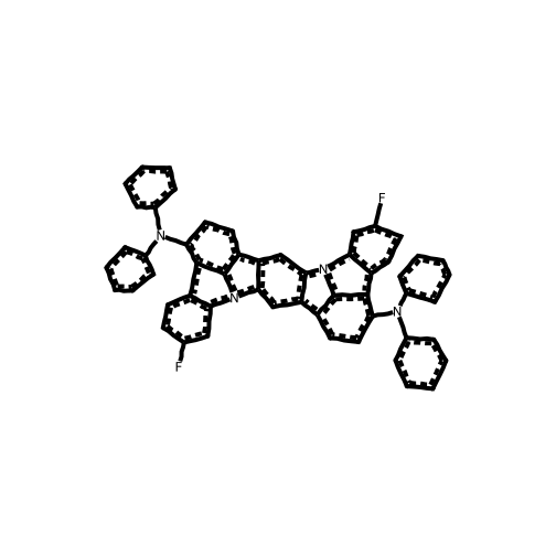 Fc1ccc2c3c(N(c4ccccc4)c4ccccc4)ccc4c5cc6c(cc5n(c2c1)c43)c1ccc(N(c2ccccc2)c2ccccc2)c2c3ccc(F)cc3n6c12